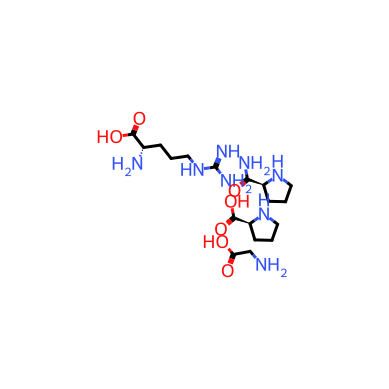 N=C(N)NCCC[C@H](N)C(=O)O.NC(=O)[C@@H]1CCCN1.NCC(=O)O.O=C(O)[C@@H]1CCCN1